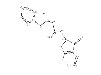 O=C1C2=C(CCC=C2)CN1CC(O)CN1Cc2ccccc2C1